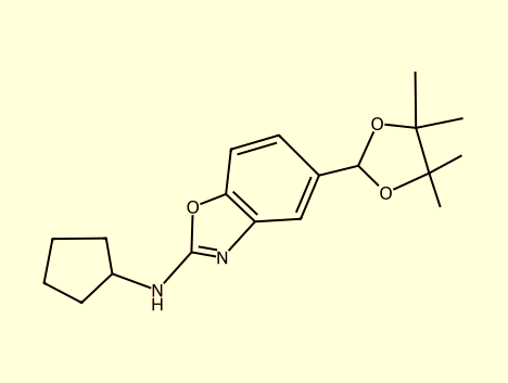 CC1(C)OC(c2ccc3oc(NC4CCCC4)nc3c2)OC1(C)C